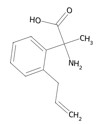 C=CCc1ccccc1C(C)(N)C(=O)O